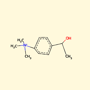 CC(O)c1ccc([N+](C)(C)C)cc1